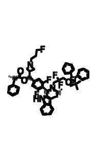 C[C@H](C(=O)O[C@H](c1cc(F)c([C@@H]2c3[nH]c4ccccc4c3C[C@@H](C)N2CC(F)(F)CO[Si](c2ccccc2)(c2ccccc2)C(C)(C)C)c(F)c1)C1CN(CCCF)C1)c1ccccc1